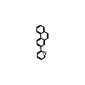 c1ccc(-c2ccc3c(ccc4ccccc43)c2)nc1